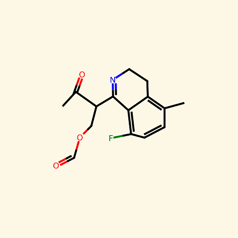 CC(=O)C(COC=O)C1=NCCc2c(C)ccc(F)c21